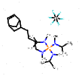 CC(C)N(C)[P+](N(C)CCCCC1CC2C=CC1C2)(N(C)C(C)C)N(C)C(C)C.[F][Sb-]([F])([F])([F])([F])[F]